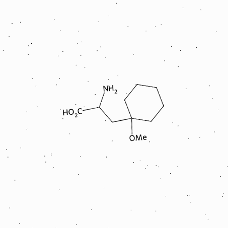 COC1(CC(N)C(=O)O)CCCCC1